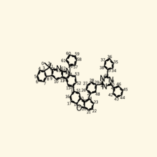 CC1(C)c2ccccc2-c2cc3c4cc(-c5ccc6oc7cccc(-c8cccc(-c9nc(-c%10ccccc%10)nc(-c%10ccccc%10)n9)c8)c7c6c5)ccc4n(-c4ccccc4)c3nc21